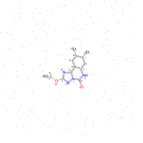 CCc1cc2[nH]c(=O)n3nc(OC(=O)O)nc3c2cc1CC